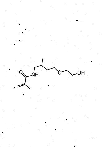 C=C(C)C(=O)NCC(C)CCOCCO